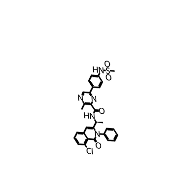 Cc1ncc(-c2ccc(NS(C)(=O)=O)cc2)nc1C(=O)N[C@@H](C)c1cc2cccc(Cl)c2c(=O)n1-c1ccccc1